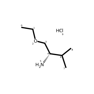 CCOC[C@@H](N)C(C)C.Cl